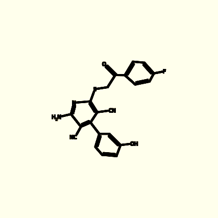 N#Cc1c(N)nc(SCC(=O)c2ccc(F)cc2)c(C#N)c1-c1cccc(O)c1